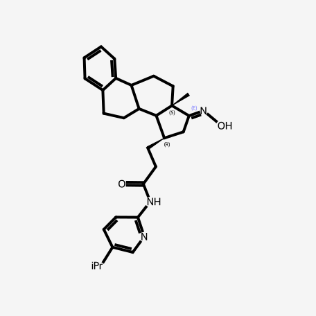 CC(C)c1ccc(NC(=O)CC[C@@H]2C/C(=N\O)[C@@]3(C)CCC4c5ccccc5CCC4C23)nc1